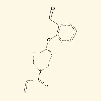 C=CC(=O)N1CCC(Oc2ccccc2C=O)CC1